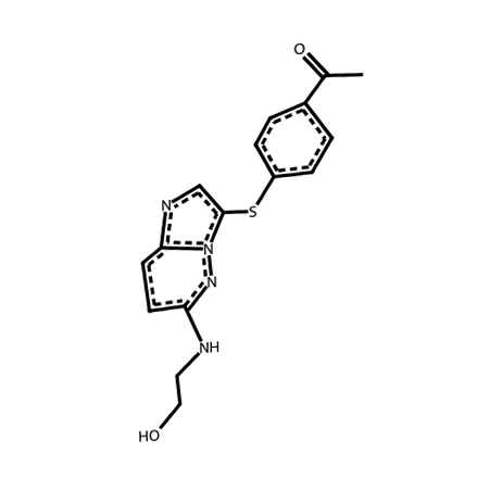 CC(=O)c1ccc(Sc2cnc3ccc(NCCO)nn23)cc1